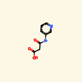 O=C(O)CC(=O)[N]c1cccnc1